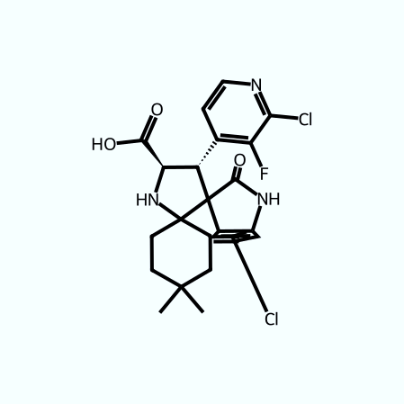 CC1(C)CCC2(CC1)N[C@@H](C(=O)O)[C@H](c1ccnc(Cl)c1F)C21C(=O)Nc2cc(Cl)ccc21